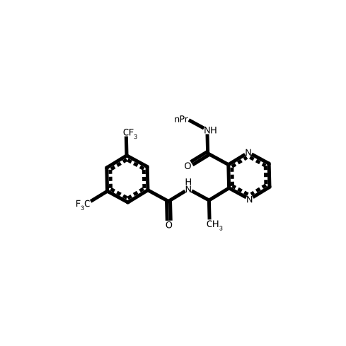 CCCNC(=O)c1nccnc1C(C)NC(=O)c1cc(C(F)(F)F)cc(C(F)(F)F)c1